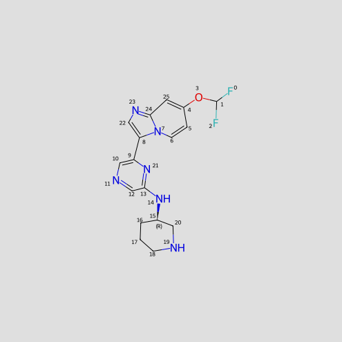 FC(F)Oc1ccn2c(-c3cncc(N[C@@H]4CCCNC4)n3)cnc2c1